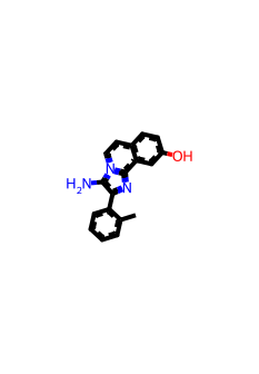 Cc1ccccc1-c1nc2c3cc(O)ccc3ccn2c1N